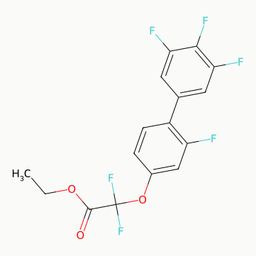 CCOC(=O)C(F)(F)Oc1ccc(-c2cc(F)c(F)c(F)c2)c(F)c1